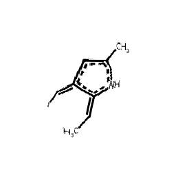 C/C=c1/[nH]c(C)c/c1=C/I